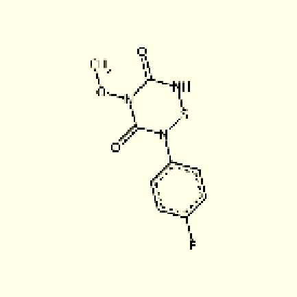 CON1C(=O)NSN(c2ccc(F)cc2)C1=O